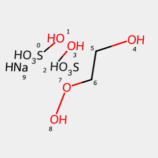 O=S(=O)(O)O.O=S(=O)(O)O.OCCOO.[NaH]